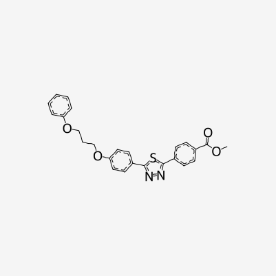 COC(=O)c1ccc(-c2nnc(-c3ccc(OCCCOc4ccccc4)cc3)s2)cc1